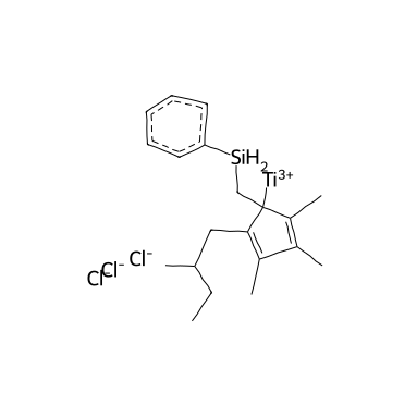 CCC(C)CC1=C(C)C(C)=C(C)[C]1([Ti+3])C[SiH2]c1ccccc1.[Cl-].[Cl-].[Cl-]